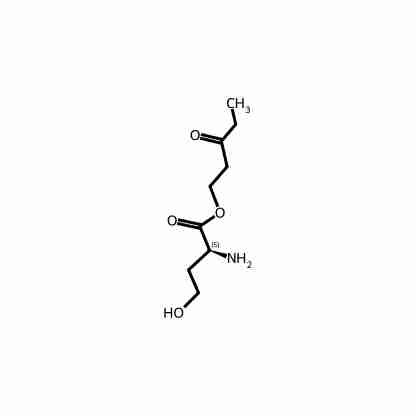 CCC(=O)CCOC(=O)[C@@H](N)CCO